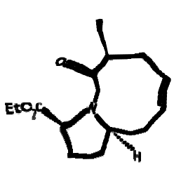 CCOC(=O)[C@@H]1CC[C@@H]2C/C=C\C[C@H](C)C(=O)N21